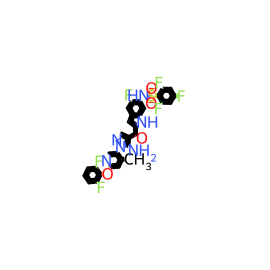 Cc1cc(Oc2c(F)cccc2F)ncc1-n1ncc(C(=O)c2cc3cc(F)c(NS(=O)(=O)c4c(F)cc(F)cc4F)cc3[nH]2)c1N